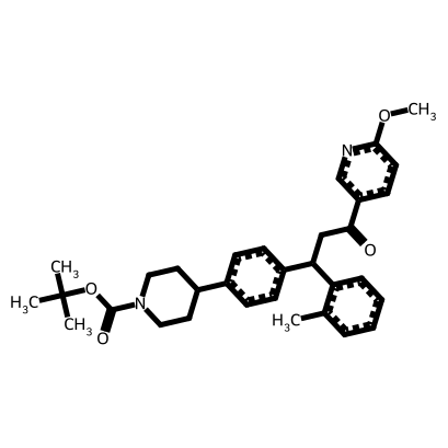 COc1ccc(C(=O)CC(c2ccc(C3CCN(C(=O)OC(C)(C)C)CC3)cc2)c2ccccc2C)cn1